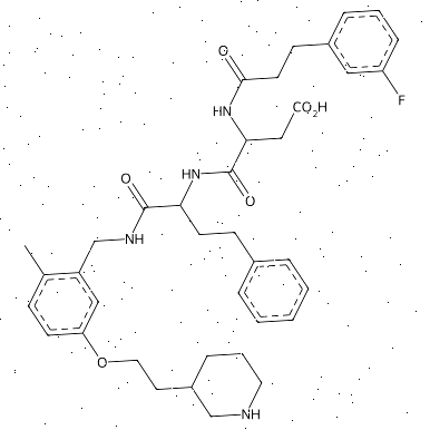 Cc1ccc(OCCC2CCCNC2)cc1CNC(=O)C(CCc1ccccc1)NC(=O)C(CC(=O)O)NC(=O)CCc1cccc(F)c1